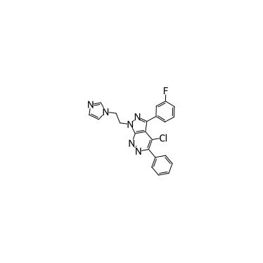 Fc1cccc(-c2nn(CCn3ccnc3)c3nnc(-c4ccccc4)c(Cl)c23)c1